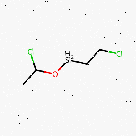 CC(Cl)O[SiH2]CCCl